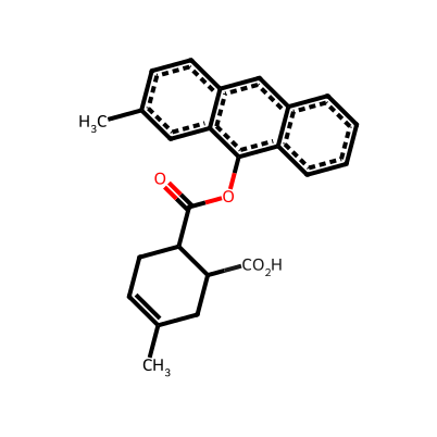 CC1=CCC(C(=O)Oc2c3ccccc3cc3ccc(C)cc23)C(C(=O)O)C1